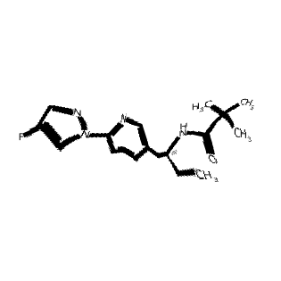 CC[C@H](NC(=O)C(C)(C)C)c1ccc(-n2cc(F)cn2)nc1